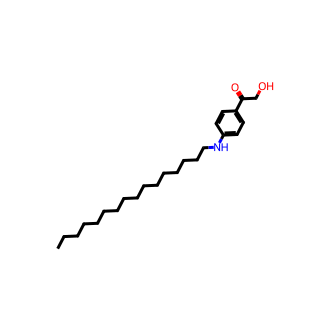 CCCCCCCCCCCCCCCCNc1ccc(C(=O)CO)cc1